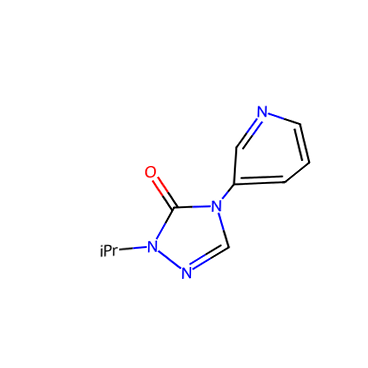 CC(C)n1ncn(-c2cccnc2)c1=O